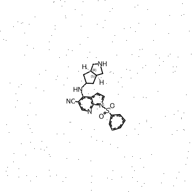 N#Cc1cnc2c(ccn2S(=O)(=O)c2ccccc2)c1NC1C[C@H]2CNC[C@H]2C1